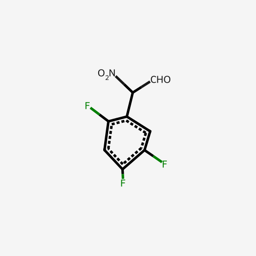 O=CC(c1cc(F)c(F)cc1F)[N+](=O)[O-]